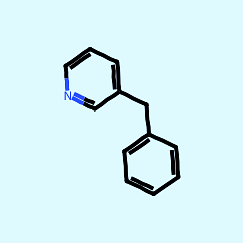 [c]1ncccc1Cc1ccccc1